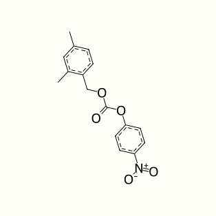 Cc1ccc(COC(=O)Oc2ccc([N+](=O)[O-])cc2)c(C)c1